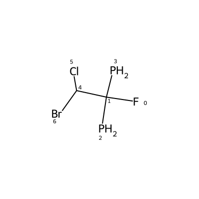 FC(P)(P)C(Cl)Br